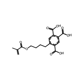 C=C(C)C(=O)OCCCCc1cc(C(=O)O)c(C(=O)O)cc1C(=O)O